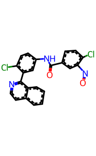 O=Nc1cc(C(=O)Nc2ccc(Cl)c(-c3nccc4ccccc34)c2)ccc1Cl